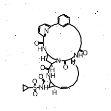 O=C1CCCCc2cccc(c2)-c2cccc(n2)C(=O)N[C@@H]2C[C@H]3C(=O)N[C@]4(C(=O)NS(=O)(=O)C5CC5)C[C@@H]4/C=C\CCCCC[C@H](N1)C(=O)N3C2